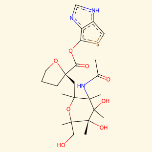 CC(=O)NC1(C)C(C)(C[C@@]2(C(=O)Oc3scc4[nH]cnc34)CCCO2)OC(C)(CO)[C@@](C)(O)C1(C)O